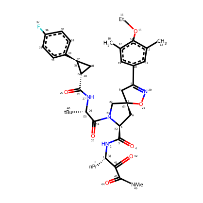 CCC[C@H](NC(=O)[C@@H]1C[C@]2(CC(c3cc(C)c(OCC)c(C)c3)=NO2)CN1C(=O)[C@@H](NC(=O)[C@H]1C[C@@H]1c1ccc(F)cc1)C(C)(C)C)C(=O)C(=O)NC